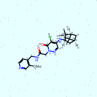 COc1cnccc1CNC(=O)Cn1ncc(N[C@@H]2C[C@@H]3C[C@H]([C@H]2C)C3(C)C)c(Br)c1=O